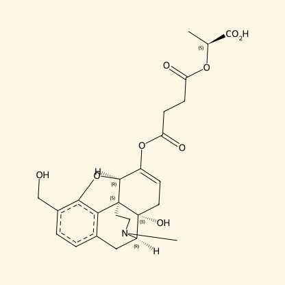 C[C@H](OC(=O)CCC(=O)OC1=CC[C@@]2(O)[C@H]3Cc4ccc(CO)c5c4[C@@]2(CCN3C)[C@H]1O5)C(=O)O